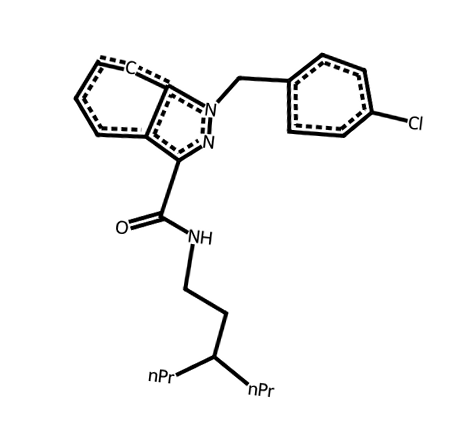 CCCC(CCC)CCNC(=O)c1nn(Cc2ccc(Cl)cc2)c2ccccc12